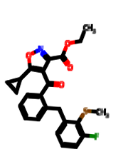 CCOC(=O)c1noc(C2CC2)c1C(=O)c1ccccc1Cc1cccc(F)c1SC